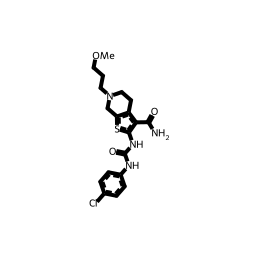 COCCCN1CCc2c(sc(NC(=O)Nc3ccc(Cl)cc3)c2C(N)=O)C1